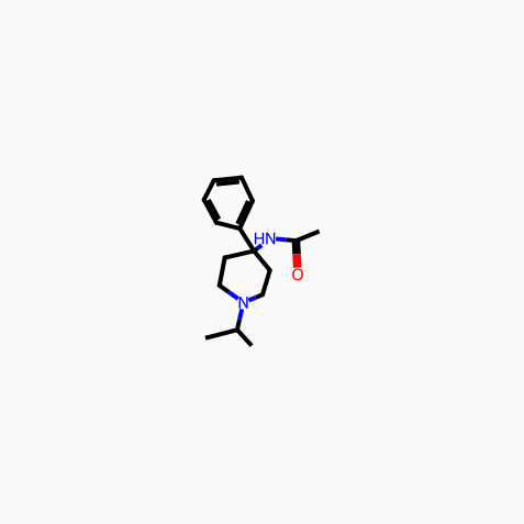 CC(=O)NC1(c2ccccc2)CCN(C(C)C)CC1